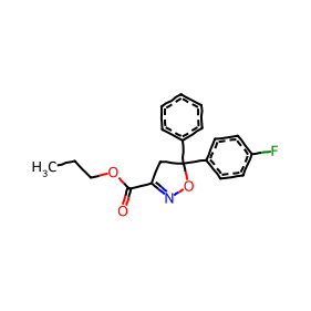 CCCOC(=O)C1=NOC(c2ccccc2)(c2ccc(F)cc2)C1